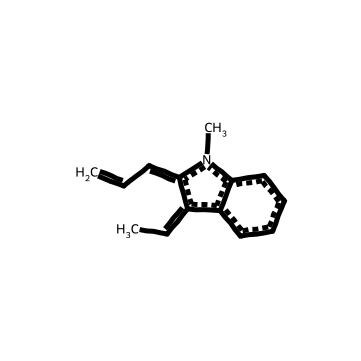 C=C/C=c1\c(=C/C)c2ccccc2n1C